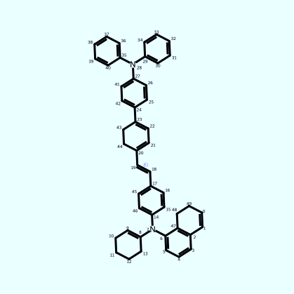 C1=Cc2cccc(N(C3=CCCCC3)c3ccc(/C=C/C4=CC=C(c5ccc(N(c6ccccc6)c6ccccc6)cc5)CC4)cc3)c2CC1